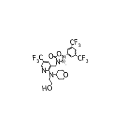 C[C@H]1[C@@H](c2cc(C(F)(F)F)cc(C(F)(F)F)c2)OC(=O)N1Cc1cc(C(F)(F)F)cnc1N(CCO)C1CCOCC1